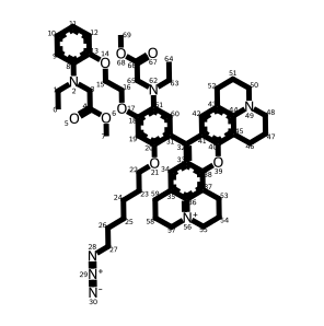 CCN(CC(=O)OC)c1ccccc1OCCOc1cc(OCCCCCCN=[N+]=[N-])c(C2=c3cc4c5c(c3Oc3c2cc2c6c3CCCN6CCC2)CCC[N+]=5CCC4)cc1N(CC)CC(=O)OC